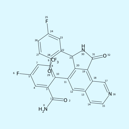 NC(=O)c1cc(F)cc(C(F)(F)F)c1-c1cc2ccncc2c2c1C(c1cc(F)ccc1Cl)NC2=O